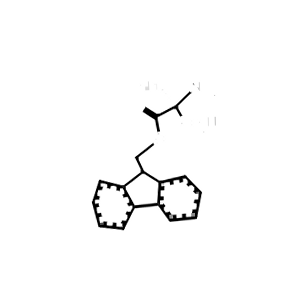 CCC[C@](N)(C(=O)O)C(=O)OCC1c2ccccc2-c2ccccc21